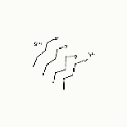 CCCC[O-].CCCC[O-].CCCC[O-].CCCC[O-].[Sn+4].[Ti+4]